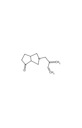 C=CC(=C)CN1CC2CCC(=O)C2C1